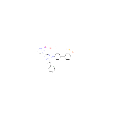 CC(C)(C)OC(=O)N1CCCC1c1cn(-c2ccc(-c3cccc(S(C)(=O)=O)c3)cc2)c(C(C)(C)c2ccccc2Cl)n1